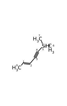 CC=CC#C[SiH](C)C